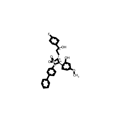 COc1ccc([C@@H]2[C@@H](CC[C@@H](O)c3ccc(F)cc3)S(=O)(=O)N2c2ccc(-c3ccccc3)cc2)c(O)c1